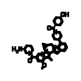 COc1cc(C(=O)N2CCC[C@@H](N)C2)cn2nc(-c3cc4cccc(C5CCN(C(=O)[C@H]6CC[C@H](O)CC6)CC5)c4n3CC3CC3)c(C)c12